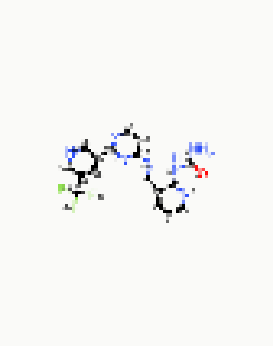 NC(=O)Nc1ncccc1CNc1ccnc(-c2cncc(C(F)(F)F)c2)n1